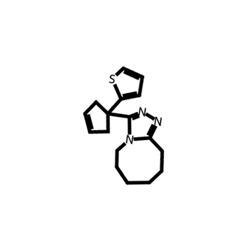 C1=CCC(c2cccs2)(c2nnc3n2CCCCCC3)C1